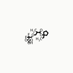 C=C(COCC(F)(F)S(=O)(=O)O)C(=O)OC1(CC)CCCC1